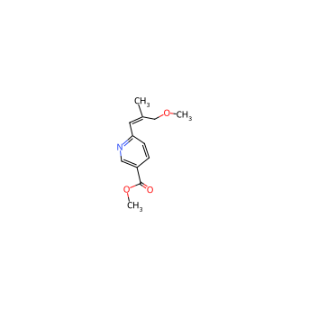 COCC(C)=Cc1ccc(C(=O)OC)cn1